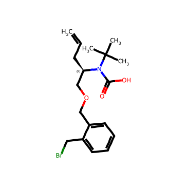 C=CC[C@H](COCc1ccccc1CBr)N(C(=O)O)C(C)(C)C